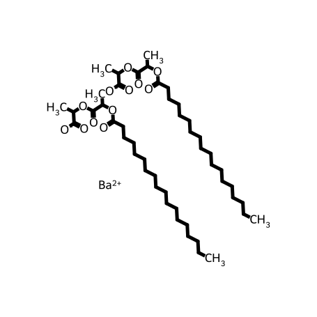 CCCCCCCCCCCCCCCCCC(=O)OC(C)C(=O)OC(C)C(=O)[O-].CCCCCCCCCCCCCCCCCC(=O)OC(C)C(=O)OC(C)C(=O)[O-].[Ba+2]